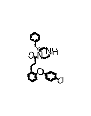 O=C(CCc1ccccc1Oc1ccc(Cl)cc1)N1CCNC[C@H]1Cc1ccccc1